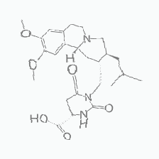 COc1cc2c(cc1OC)[C@H]1C[C@@H](CN3C(=O)C[C@@H](C(=O)O)NC3=O)[C@H](CC(C)C)CN1CC2